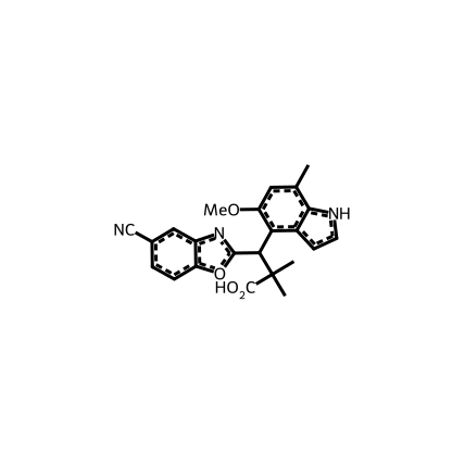 COc1cc(C)c2[nH]ccc2c1C(c1nc2cc(C#N)ccc2o1)C(C)(C)C(=O)O